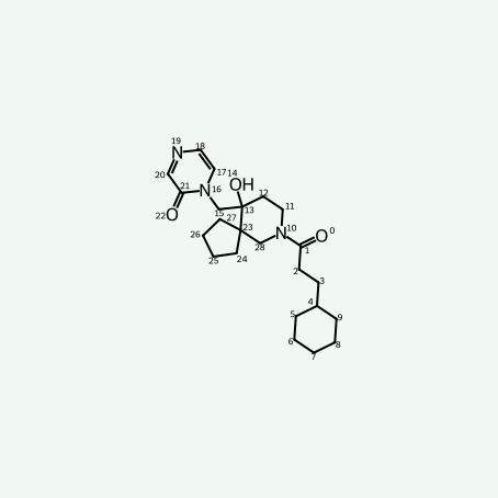 O=C(CCC1CCCCC1)N1CCC(O)(Cn2ccncc2=O)C2(CCCC2)C1